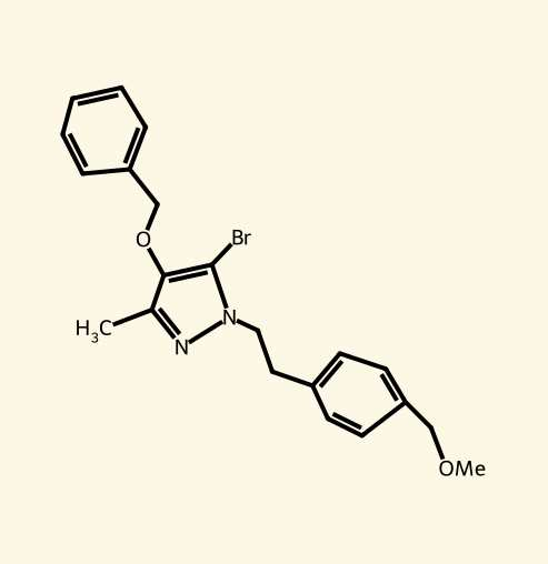 COCc1ccc(CCn2nc(C)c(OCc3ccccc3)c2Br)cc1